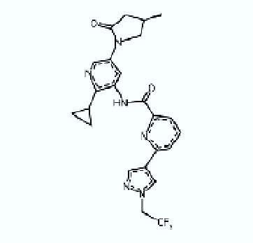 C[C@@H]1CC(=O)N(c2cnc(C3CC3)c(NC(=O)c3cccc(-c4cnn(CC(F)(F)F)c4)n3)c2)C1